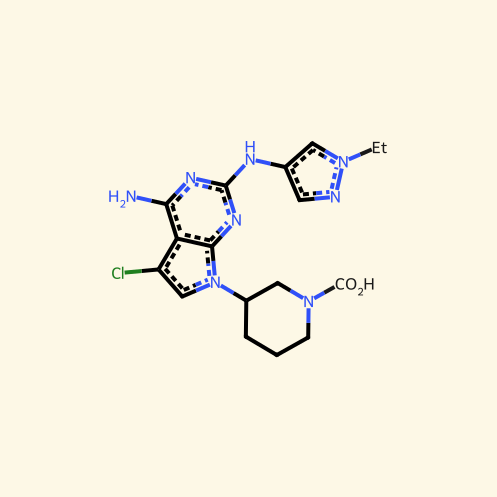 CCn1cc(Nc2nc(N)c3c(Cl)cn(C4CCCN(C(=O)O)C4)c3n2)cn1